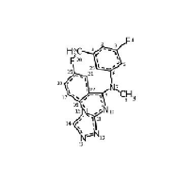 Cc1cc(F)cc(N(C)c2nc3nncn3c3ccc(F)cc23)c1